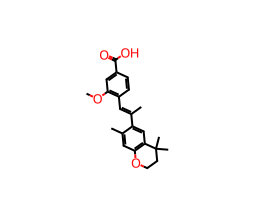 COc1cc(C(=O)O)ccc1C=C(C)c1cc2c(cc1C)OCCC2(C)C